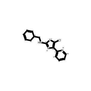 Clc1sc(NCC2C=CC=CC2)nc1-c1ccccn1